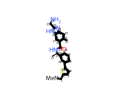 CNCc1ccc(-c2cccc([C@@H](C)NC(=O)c3cc4[nH]c(CN)nc4cc3C)c2)s1